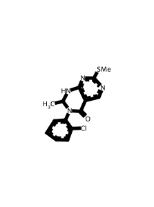 CSc1ncc2c(n1)NC(C)N(c1ccccc1Cl)C2=O